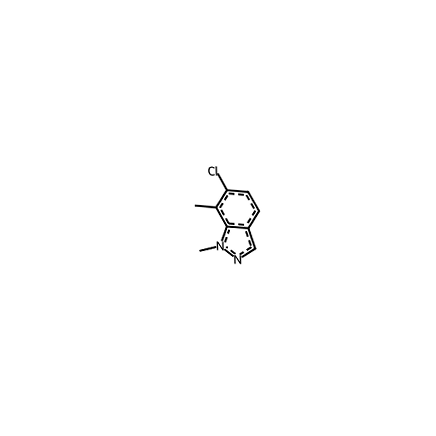 Cc1c(Cl)ccc2cnn(C)c12